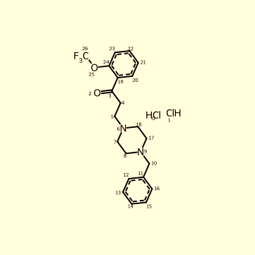 Cl.Cl.O=C(CCN1CCN(Cc2ccccc2)CC1)c1ccccc1OC(F)(F)F